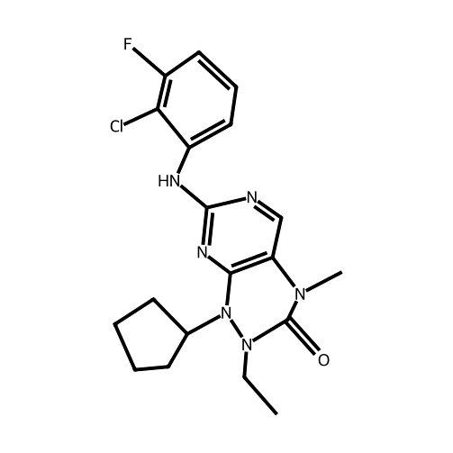 CCN1C(=O)N(C)c2cnc(Nc3cccc(F)c3Cl)nc2N1C1CCCC1